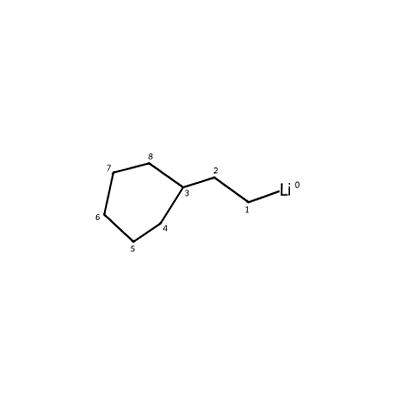 [Li][CH2]CC1CCCCC1